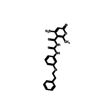 Cc1cc(=O)oc(C)c1C(=O)NC(=S)Nc1cccc(OCCc2ccccc2)c1